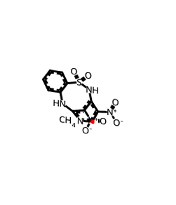 C.O=[N+]([O-])c1cnc2c([N+](=O)[O-])c1NS(=O)(=O)c1ccccc1N2